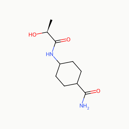 C[C@H](O)C(=O)NC1CCC(C(N)=O)CC1